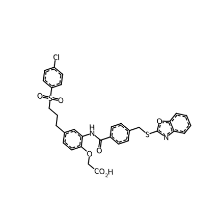 O=C(O)COc1ccc(CCCS(=O)(=O)c2ccc(Cl)cc2)cc1NC(=O)c1ccc(CSc2nc3ccccc3o2)cc1